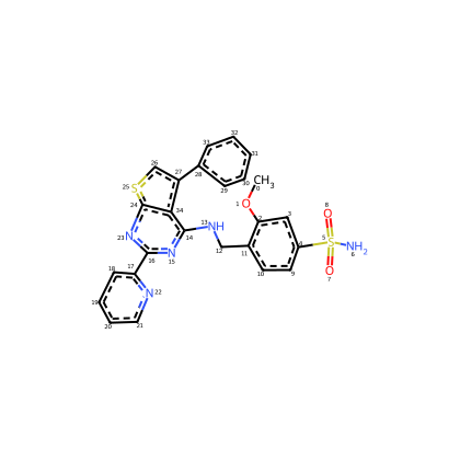 COc1cc(S(N)(=O)=O)ccc1CNc1nc(-c2ccccn2)nc2scc(-c3ccccc3)c12